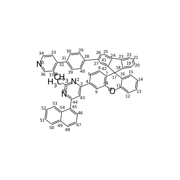 Cc1nc(-c2ccc3c(c2)Oc2ccccc2C32c3ccccc3-c3ccc(-c4ccc(-c5ccncc5C)cc4)cc32)cc(-c2cccc3ccccc23)n1